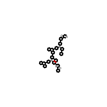 c1ccc(-c2cccc(N(c3ccc(-c4ccc5oc6ccncc6c5c4)cc3)c3ccc(-c4cc5ccccc5c5cc(-c6ccc(N(c7ccc(-c8ccc9oc%10ccccc%10c9n8)cc7)c7ccc(-c8cc9ccccc9c9ccccc89)cc7)c(-c7ccccc7)c6)ccc45)cc3)c2)cc1